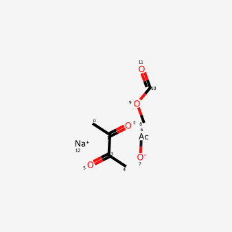 CC(=O)C(C)=O.CC(=O)[O-].COC=O.[Na+]